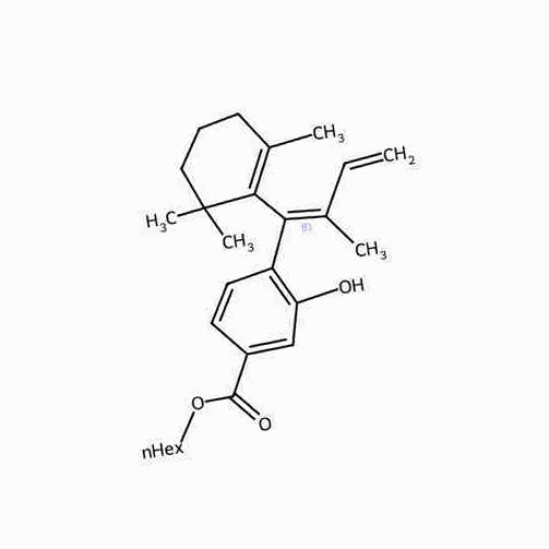 C=C/C(C)=C(\C1=C(C)CCCC1(C)C)c1ccc(C(=O)OCCCCCC)cc1O